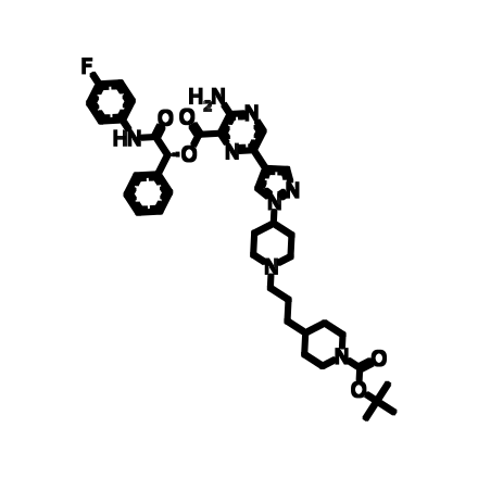 CC(C)(C)OC(=O)N1CCC(CCCN2CCC(n3cc(-c4cnc(N)c(C(=O)O[C@@H](C(=O)Nc5ccc(F)cc5)c5ccccc5)n4)cn3)CC2)CC1